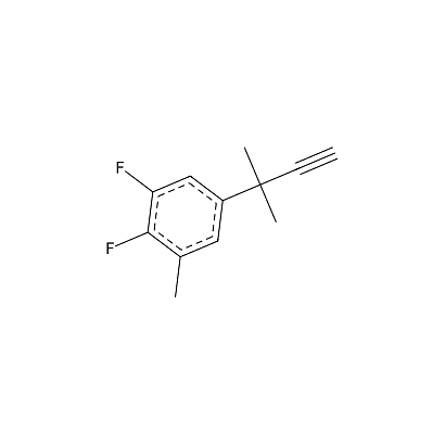 C#CC(C)(C)c1cc(C)c(F)c(F)c1